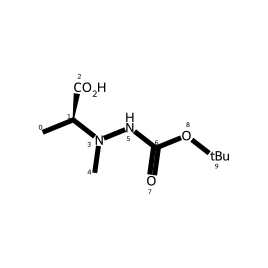 C[C@@H](C(=O)O)N(C)NC(=O)OC(C)(C)C